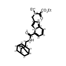 CCOC(=O)C(=O)N(CC)Cc1cn2c(C(=O)NCC34CC5CC(CC(C5)C3)C4)cccc2n1